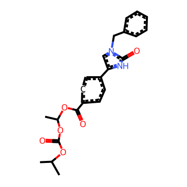 CC(C)OC(=O)OC(C)OC(=O)c1ccc(-c2cn(Cc3ccccc3)c(=O)[nH]2)cc1